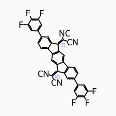 [C-]#[N+]/C(C#N)=C1/c2cc(-c3cc(F)c(F)c(F)c3)ccc2-c2cc3c(cc21)-c1ccc(-c2cc(F)c(F)c(F)c2)cc1/C3=C(/C#N)[N+]#[C-]